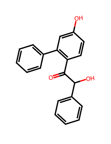 O=C(c1ccc(O)cc1-c1ccccc1)C(O)c1ccccc1